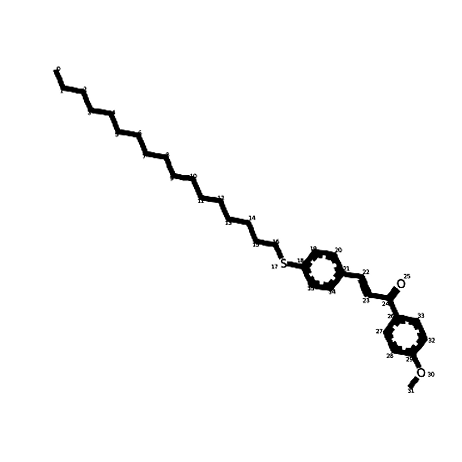 CCCCCCCCCCCCCCCCCSc1ccc(C=CC(=O)c2ccc(OC)cc2)cc1